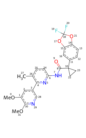 COc1cc(-c2nc(NC(=O)C3(c4ccc5c(c4)OC(F)(F)O5)CC3)ccc2C)cnc1OC